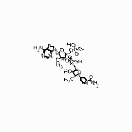 C[C@@H]1[C@H](OP(=O)(S)OC[C@H]2O[C@@H](c3ccnc(C(N)=O)c3)[C@H](C)[C@@H]2O)[C@@H](COP(=O)(O)S)O[C@H]1n1cnc2c(N)ncnc21